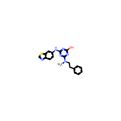 CN(CCc1ccccc1)c1nc(O)nc(Nc2ccc3ncsc3c2)n1